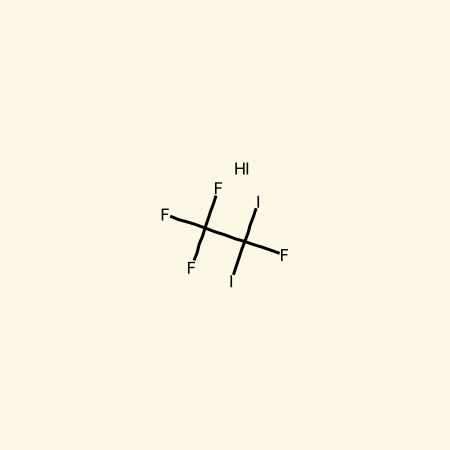 FC(F)(F)C(F)(I)I.I